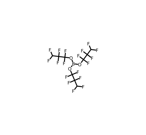 FC(F)C(F)(F)C(F)(F)OB(OC(F)(F)C(F)(F)C(F)F)OC(F)(F)C(F)(F)C(F)F